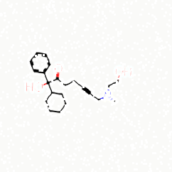 CN(CC#CCCC(=O)C(O)(c1ccccc1)C1CCCCC1)CCO